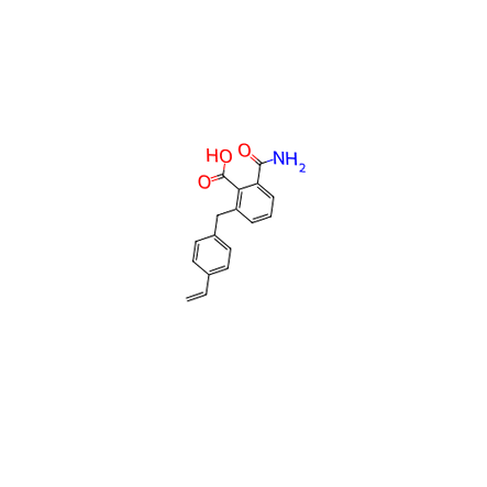 C=Cc1ccc(Cc2cccc(C(N)=O)c2C(=O)O)cc1